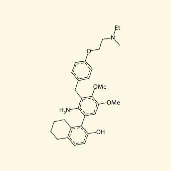 CCN(C)CCOc1ccc(Cc2c(N)c(-c3c(O)ccc4c3CCCC4)cc(OC)c2OC)cc1